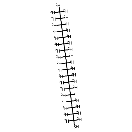 [2H]C([2H])([2H])C([2H])([2H])C([2H])([2H])C([2H])([2H])C([2H])([2H])C([2H])([2H])C([2H])([2H])C([2H])([2H])C([2H])([2H])C([2H])([2H])C([2H])([2H])C([2H])([2H])C([2H])([2H])C([2H])([2H])C([2H])([2H])C([2H])([2H])C([2H])([2H])C([2H])([2H])S